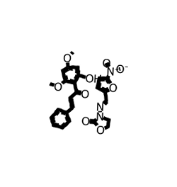 COc1cc(O)c(C(=O)C=Cc2ccccc2)c(OC)c1.O=C1OCCN1N=Cc1ccc([N+](=O)[O-])o1